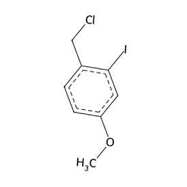 COc1ccc(CCl)c(I)c1